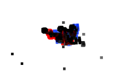 CC(C)(O)c1cnnn1[C@H]1C[C@@H](C(=O)NC(CCCCNC(=O)OCc2ccccc2)C(=O)C(N)=O)N(C(=O)[C@H](CCC(=O)c2cccc3nccnc23)CC2CCCCC2)C1